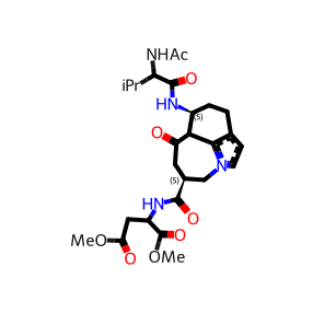 COC(=O)CC(NC(=O)[C@H]1CC(=O)C2c3c(ccn3C1)CC[C@@H]2NC(=O)C(NC(C)=O)C(C)C)C(=O)OC